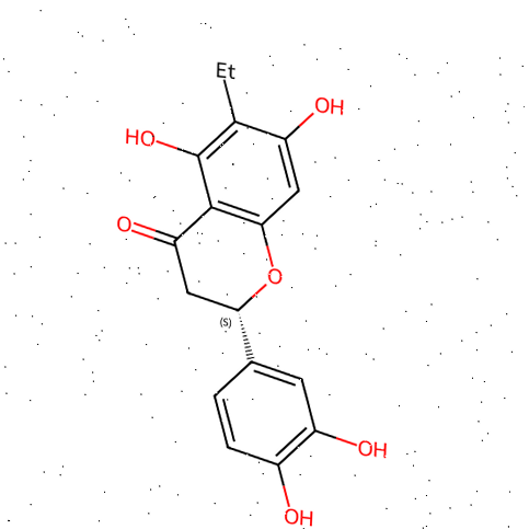 CCc1c(O)cc2c(c1O)C(=O)C[C@@H](c1ccc(O)c(O)c1)O2